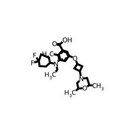 CCN(c1cc(OC2CC(N3CC(C)OC(C)C3)C2)cc(C(=O)O)c1C)C1CCC(F)(F)CC1